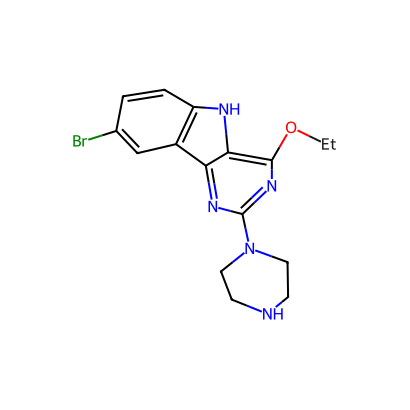 CCOc1nc(N2CCNCC2)nc2c1[nH]c1ccc(Br)cc12